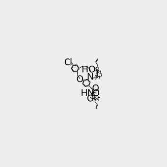 C=CC[C@H](O)[C@@H]1CC[C@H]1CN1CCCCc2cc(Cl)ccc2COc2ccc(C(=O)NS(=O)(=O)[C@@H](C)CC=C)cc21